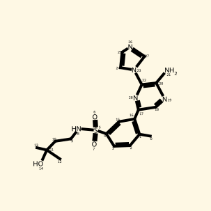 Cc1ccc(S(=O)(=O)NCCC(C)(C)O)cc1-c1cnc(N)c(-n2ccnc2)n1